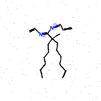 C=C/C=N\C(=N/C=C)C(C)(CCCCCC)CCCCCC